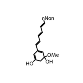 CCCCCCCCCC=CC=CC=CC1=CC(O)(OC)CC(O)=C1